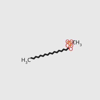 CCCCCCCCCCCCCCCCCC(=O)OS(=O)(=O)OC